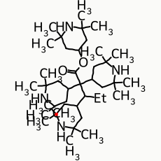 CCC(C1CC(C)(C)NC(C)(C)C1)C(C(=O)OC1CC(C)(C)NC(C)(C)C1)(C1CC(C)(C)NC(C)(C)C1)C1CC(C)(C)NC(C)(C)C1